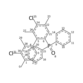 Cc1ccc(-c2c(P(=O)(c3ccccc3)c3ccccc3)cc(C)c(Cl)c2C)c(C)c1Cl